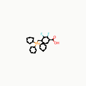 O=C(O)c1ccc(C[PH](c2ccccc2)(c2ccccc2)c2ccccc2)c(F)c1F